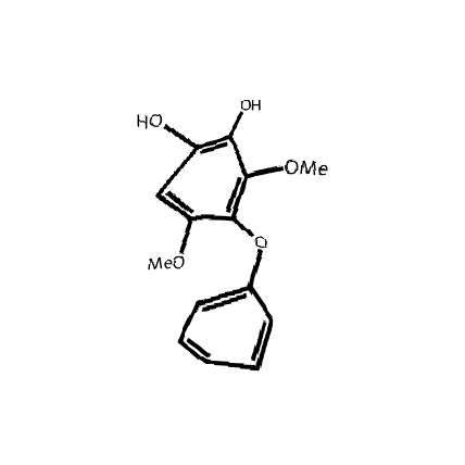 COc1cc(O)c(O)c(OC)c1Oc1ccccc1